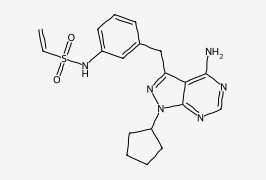 C=CS(=O)(=O)Nc1cccc(Cc2nn(C3CCCC3)c3ncnc(N)c23)c1